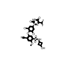 COc1cc(C#N)c(Oc2c(Cl)cc(-n3nc(C(F)F)c(=O)[nH]c3=O)cc2Cl)cc1S(=O)(=O)NC1CC(O)C1